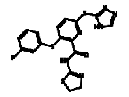 O=C(NC1=NCCS1)c1nc(Sc2nnc[nH]2)ccc1Sc1cccc(F)c1